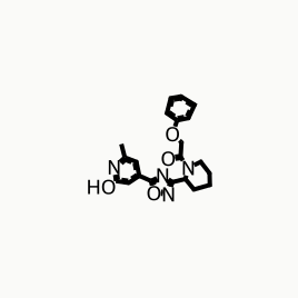 Cc1cc(-c2nc(C3CCCCN3C(=O)COc3ccccc3)no2)cc(O)n1